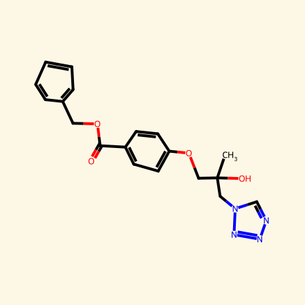 CC(O)(COc1ccc(C(=O)OCc2ccccc2)cc1)Cn1cnnn1